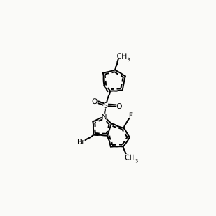 Cc1ccc(S(=O)(=O)n2cc(Br)c3cc(C)cc(F)c32)cc1